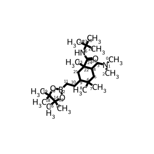 CN(C)CC1CC(C)(C)C(CCB2OC(C)(C)C(C)(C)O2)CC1(C)C(=O)NC(C)(C)C